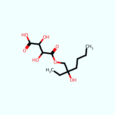 CCCCC(O)(CC)COC(=O)C(O)C(O)C(=O)O